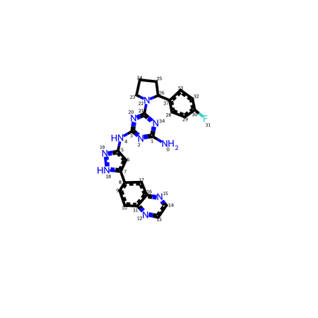 Nc1nc(Nc2cc(-c3ccc4nccnc4c3)[nH]n2)nc(N2CCCC2c2ccc(F)cc2)n1